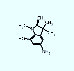 C=C1N(C)c2c(O)cc(N)cc2C1(C)C